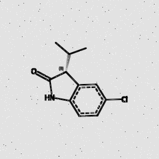 CC(C)[C@H]1C(=O)Nc2ccc(Cl)cc21